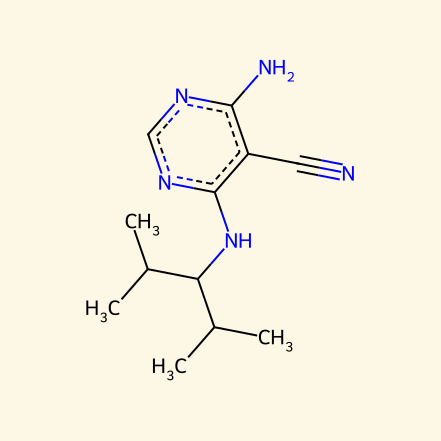 CC(C)C(Nc1ncnc(N)c1C#N)C(C)C